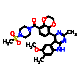 COc1cc2c(cc1C)[nH]c1nc(C)nc(-c3ccc(C(=O)N4CCN(S(C)(=O)=O)CC4)c4c3OCCO4)c12